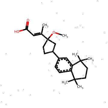 COC1(C(C)=CC(=O)O)CCC(c2ccc3c(c2)C(C)(C)CCC3(C)C)C1